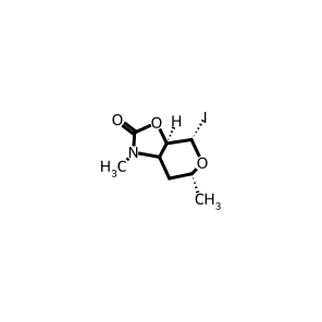 C[C@@H]1CC2[C@@H](OC(=O)N2C)[C@H](I)O1